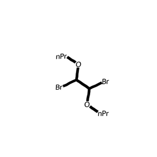 CCCOC(Br)C(Br)OCCC